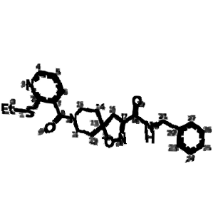 CCSc1ncccc1C(=O)N1CCC2(CC1)CC(C(=O)NCc1ccccc1)=NO2